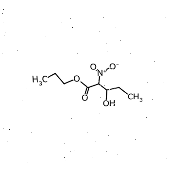 CCCOC(=O)C(C(O)CC)[N+](=O)[O-]